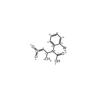 CC(C=S(=O)=O)N(C(=O)O)c1ccccc1Br